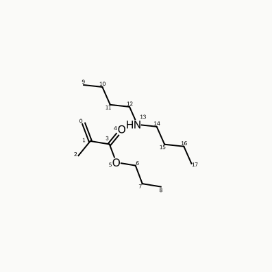 C=C(C)C(=O)OCCC.CCCCNCCCC